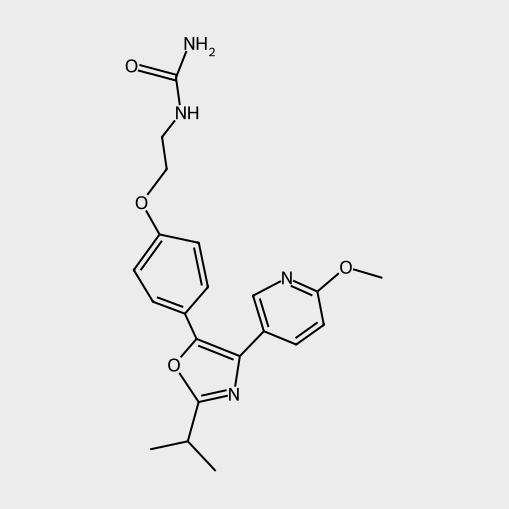 COc1ccc(-c2nc(C(C)C)oc2-c2ccc(OCCNC(N)=O)cc2)cn1